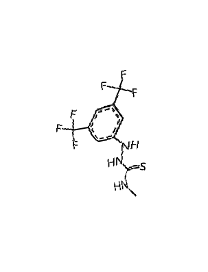 CNC(=S)NNc1cc(C(F)(F)F)cc(C(F)(F)F)c1